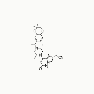 CC(c1ccc2c(c1)OC(C)(C)CO2)N1C[C@H](C)N(c2cc(=O)n(C)n3cc(CC#N)nc23)C[C@H]1C